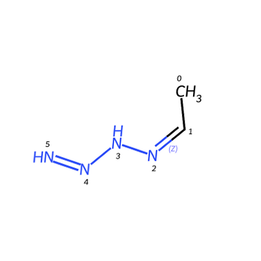 C/C=N\NN=N